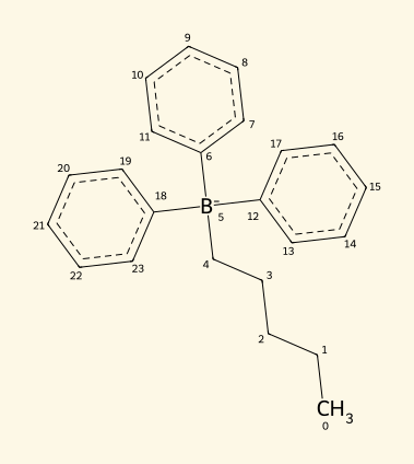 CCCCC[B-](c1ccccc1)(c1ccccc1)c1ccccc1